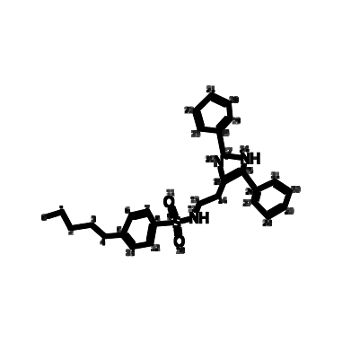 CCCCCc1ccc(S(=O)(=O)NCCc2nc(-c3ccccc3)[nH]c2-c2ccccc2)cc1